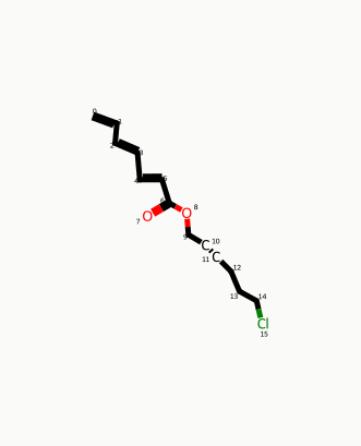 C=CC=CC=CC(=O)OCCCCCCCl